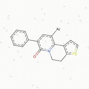 CC(=O)c1cc(-c2ccccc2)c(=O)n2c1-c1ccsc1CC2